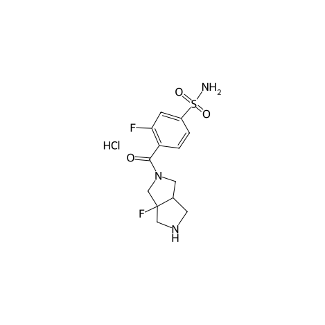 Cl.NS(=O)(=O)c1ccc(C(=O)N2CC3CNCC3(F)C2)c(F)c1